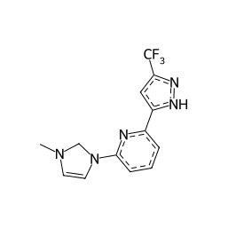 CN1C=CN(c2cccc(-c3cc(C(F)(F)F)n[nH]3)n2)C1